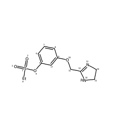 CCS(=O)(=O)Oc1cccc(OCC2=NCCN2)c1